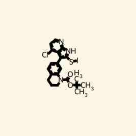 CC(C)(C)OC(=O)N1CCCc2ccc(-c3c(SI)[nH]c4nccc(Cl)c34)cc21